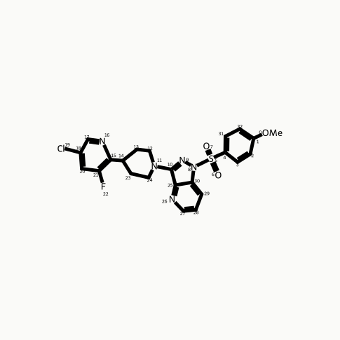 COc1ccc(S(=O)(=O)n2nc(N3CCC(c4ncc(Cl)cc4F)CC3)c3ncccc32)cc1